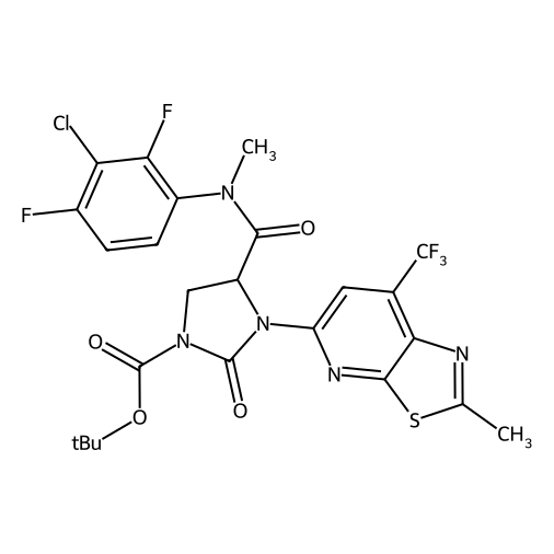 Cc1nc2c(C(F)(F)F)cc(N3C(=O)N(C(=O)OC(C)(C)C)CC3C(=O)N(C)c3ccc(F)c(Cl)c3F)nc2s1